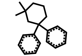 CC1(C)CCCC(c2ccccc2)(c2ccccc2)C1